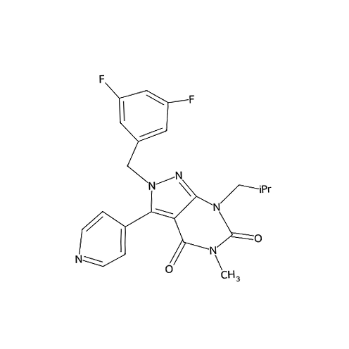 CC(C)Cn1c(=O)n(C)c(=O)c2c(-c3ccncc3)n(Cc3cc(F)cc(F)c3)nc21